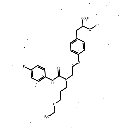 CCOC(Cc1ccc(OCCN(CCCOCC(F)(F)F)C(=O)Nc2ccc(F)cc2)cc1)C(=O)O